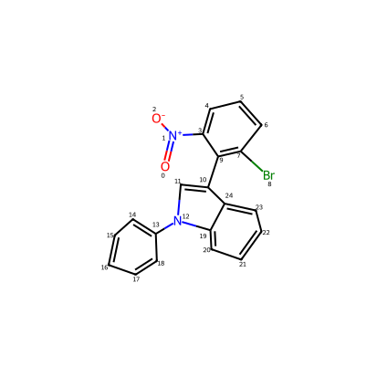 O=[N+]([O-])c1cccc(Br)c1-c1cn(-c2ccccc2)c2ccccc12